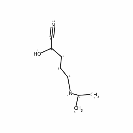 CC(C)[N]CCCC(O)C#N